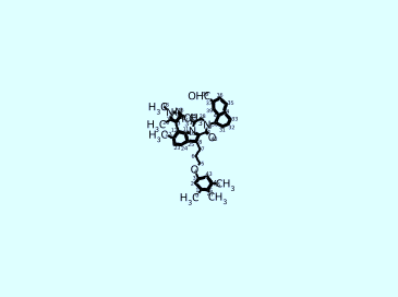 Cc1cc(OCCCc2c3n(c4c(-c5c(C)nn(C)c5C)c(C)ccc24)[C@H](C)CN(c2cccc4ccc(C=O)cc24)C3=O)cc(C)c1C